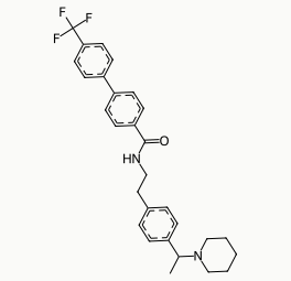 CC(c1ccc(CCNC(=O)c2ccc(-c3ccc(C(F)(F)F)cc3)cc2)cc1)N1CCCCC1